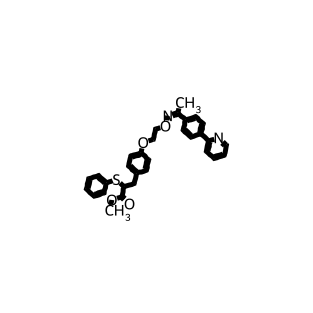 COC(=O)C(Cc1ccc(OCCON=C(C)c2ccc(-c3ccccn3)cc2)cc1)Sc1ccccc1